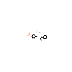 O=P(O)(Oc1ccc(CSc2cnc3ccccc3c2)cc1Br)C(F)F.[Na].[Na]